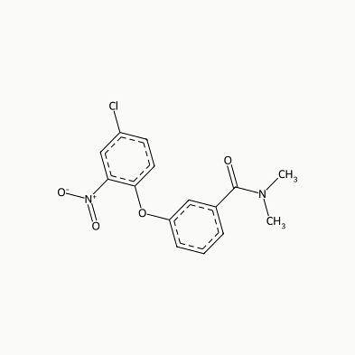 CN(C)C(=O)c1cccc(Oc2ccc(Cl)cc2[N+](=O)[O-])c1